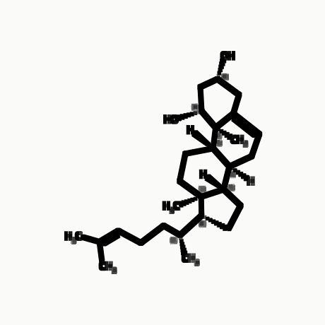 CC(C)=CCC[C@@H](C)[C@H]1CC[C@H]2[C@@H]3CC=C4C[C@@H](O)C[C@@H](O)[C@]4(C)[C@H]3CC[C@]12C